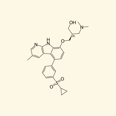 Cc1cnc2[nH]c3c(OC[C@@H](CO)CN(C)C)ccc(-c4cccc(S(=O)(=O)C5CC5)c4)c3c2c1